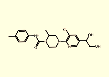 Cc1ccc(NC(=O)N2CCN(c3ncc(C(O)CO)cc3Cl)CC2C)cc1